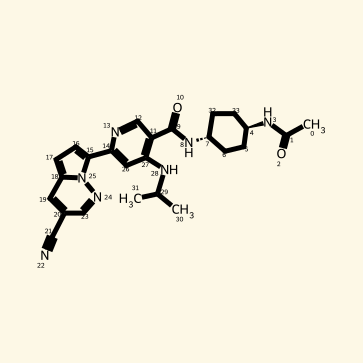 CC(=O)N[C@H]1CC[C@H](NC(=O)c2cnc(-c3ccc4cc(C#N)cnn34)cc2NC(C)C)CC1